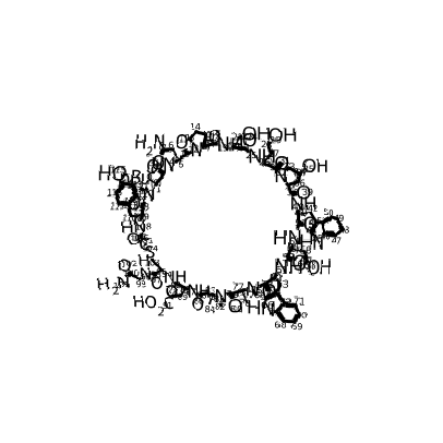 CCCC[C@H]1C(=O)N[C@@H](CC(N)=O)C(=O)N2CCC[C@H]2C(=O)N[C@@H](CO)C(=O)N[C@@H](CCO)C(=O)N2C[C@H](O)CC2C(=O)N[C@@H](Cc2c[nH]c3ccccc23)C(=O)N[C@@H](CCO)C(=O)N[C@@H](Cc2c[nH]c3ccccc23)C(=O)N(C)[C@@H](C)C(=O)N(C)[C@@H](C)C(=O)N[C@@H](CCC(=O)O)C(=O)NC(C(=O)NCC(N)=O)CSCC(=O)N[C@@H](Cc2ccc(O)cc2)C(=O)N1C